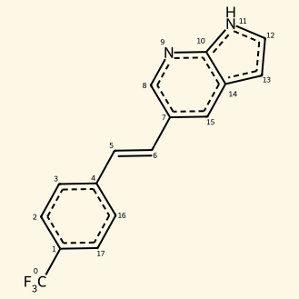 FC(F)(F)c1ccc(/C=C/c2cnc3[nH]ccc3c2)cc1